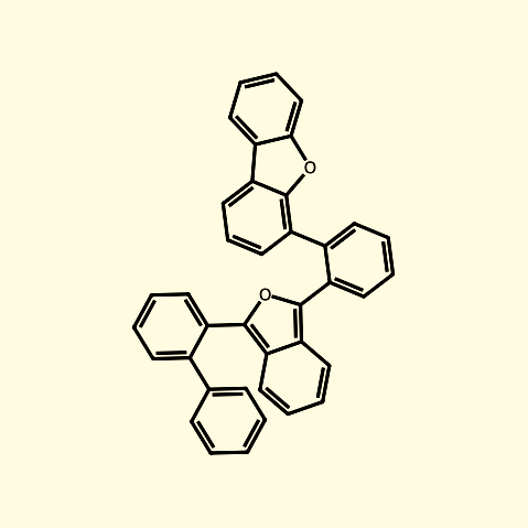 c1ccc(-c2ccccc2-c2oc(-c3ccccc3-c3cccc4c3oc3ccccc34)c3ccccc23)cc1